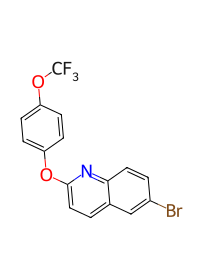 FC(F)(F)Oc1ccc(Oc2ccc3cc(Br)ccc3n2)cc1